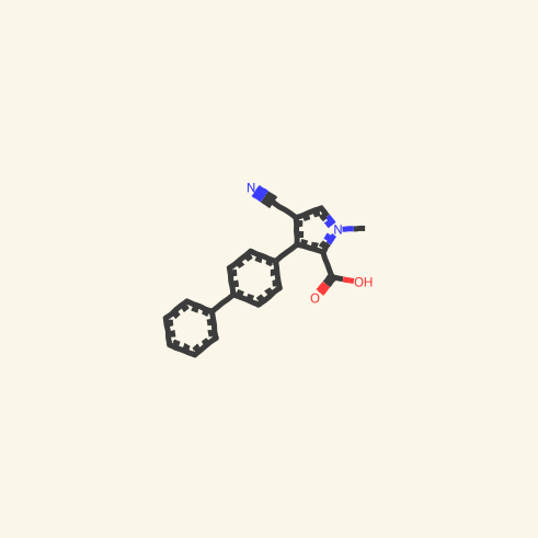 Cn1cc(C#N)c(-c2ccc(-c3ccccc3)cc2)c1C(=O)O